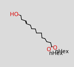 CCCCCCOC(CCCCCCCCC/C=C/CCO)OCCCCCC